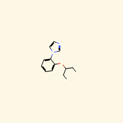 CSCC(CSC)Oc1ccccc1-n1ccnc1